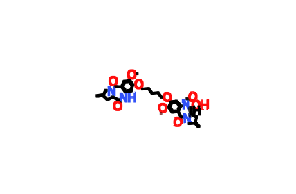 C=C1CC2C(=O)Nc3cc(OCCCCCOc4cc5c(cc4OC)C(=O)N4CC(=C)C[C@H]4[C@H](O)N5C=O)c(OC)cc3C(=O)N2C1